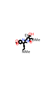 CC[C@](C)(O)c1cc2n(c(=O)c1COC)Cc1c-2nc2cc3c(cc2c1C#CCCNC)OCO3